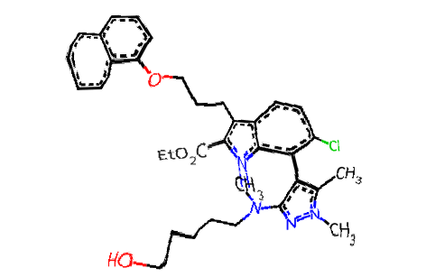 CCOC(=O)c1[nH]c2c(-c3c(N(C)CCCCCO)nn(C)c3C)c(Cl)ccc2c1CCCOc1cccc2ccccc12